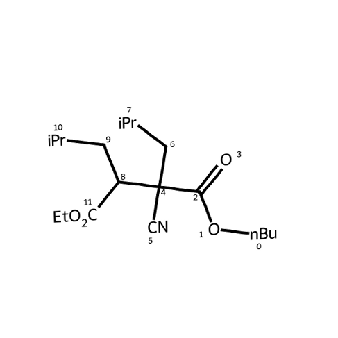 CCCCOC(=O)C(C#N)(CC(C)C)C(CC(C)C)C(=O)OCC